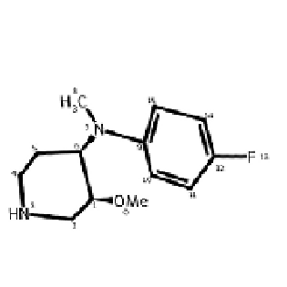 CO[C@H]1CNCC[C@H]1N(C)c1ccc(F)cc1